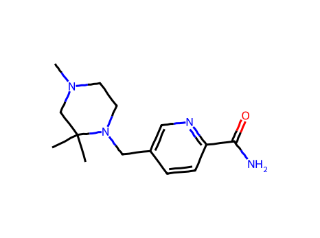 CN1CCN(Cc2ccc(C(N)=O)nc2)C(C)(C)C1